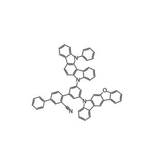 N#Cc1cc(-c2ccccc2)ccc1-c1cc(-n2c3ccccc3c3cc4c(cc32)oc2ccccc24)cc(-n2c3ccccc3c3c2ccc2c4ccccc4n(-c4ccccc4)c23)c1